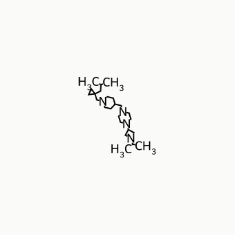 CC(C)CC1(CN2CCC(CN3CCN(C4CN(C(C)C)C4)CC3)CC2)CC1